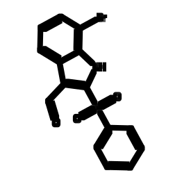 O=Cc1c(S(=O)(=O)c2ccccc2)[nH]c2c(Br)cccc12